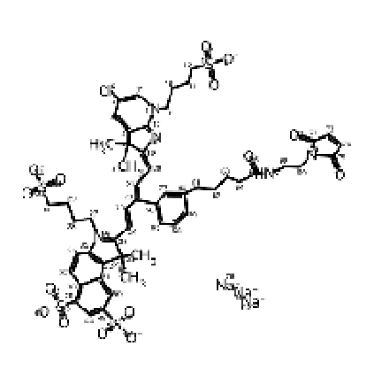 CC1(C)C2=CC(Cl)=CN(CCCCS(=O)(=O)[O-])C2=N/C1=C/C=C(/C=C/C1=[N+](CCCCS(=O)(=O)[O-])c2ccc3c(S(=O)(=O)[O-])cc(S(=O)(=O)[O-])cc3c2C1(C)C)c1cccc(CCCCC(=O)NCCN2C(=O)C=CC2=O)c1.[Na+].[Na+].[Na+]